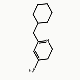 PC1=CC(CC2CCCCC2)=NCC1